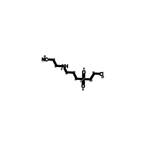 N#CCCNCCCS(=O)(=O)CCCl